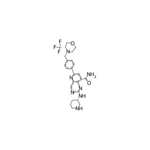 NC(=O)c1cc(-c2ccc(CN3CCOC[C@H]3C(F)(F)F)cc2)nc2cnc(N[C@H]3CCCNC3)nc12